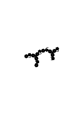 c1ccc(-c2ccc(-c3ccc(N(c4ccc(-c5ccc(-c6ccccc6)s5)cc4)c4ccc(-c5ccc(-c6ccc(-c7csc(-c8ccc(N(c9ccc(-c%10cccs%10)cc9)c9ccc(-c%10cccs%10)cc9)cc8)c7)cc6)s5)cc4)cc3)s2)cc1